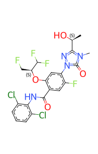 C[C@H](O)c1nn(-c2cc(O[C@@H](CF)C(F)F)c(C(=O)Nc3c(Cl)cccc3Cl)cc2F)c(=O)n1C